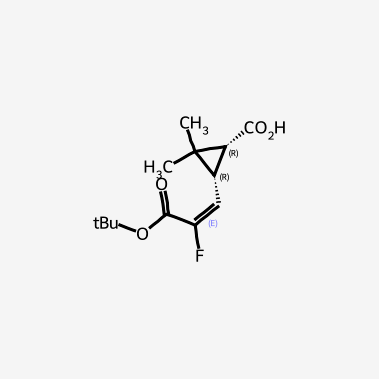 CC(C)(C)OC(=O)/C(F)=C\[C@H]1[C@@H](C(=O)O)C1(C)C